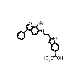 CCCc1c(OCCc2cc3cc(C(O)C(=O)O)ccc3[nH]2)ccc2c(-c3ccccc3)coc12